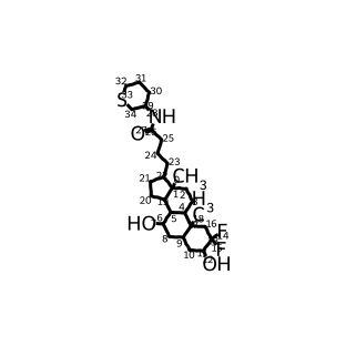 CC12CCC3C(C(O)CC4CC(O)C(F)(F)CC43C)C1CCC2CCCC(=O)NC1CCCSC1